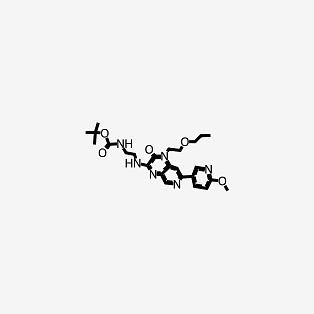 CCCOCCn1c(=O)c(NCCNC(=O)OC(C)(C)C)nc2cnc(-c3ccc(OC)nc3)cc21